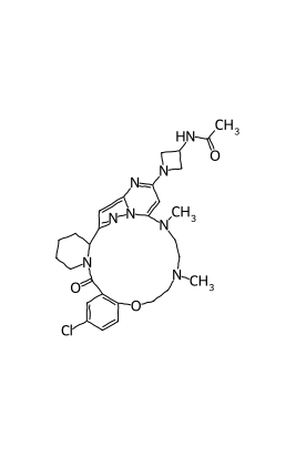 CC(=O)NC1CN(c2cc3n4nc(cc4n2)C2CCCCN2C(=O)c2cc(Cl)ccc2OCCN(C)CCN3C)C1